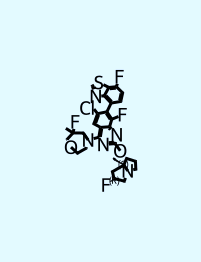 CC1(F)COCCN(c2nc(OC[C@@]34CCCN3C[C@H](F)C4)nc3c(F)c(-c4ccc(F)c5scnc45)c(Cl)cc23)C1